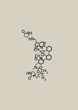 COc1nc(-c2cccc(-c3cccc(-c4ncc5c(CNC[C@@H]6CCC(=O)N6)cn(C)c5n4)c3Cl)c2Cl)ccc1CN(C[C@@H]1CCC(=O)N1)C(=O)OC(C)(C)C